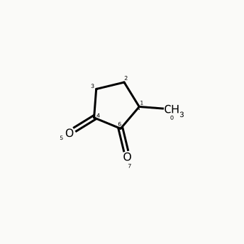 C[C]1CCC(=O)C1=O